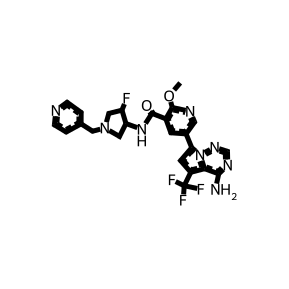 COc1ncc(-c2cc(C(F)(F)F)c3c(N)ncnn23)cc1C(=O)NC1CN(Cc2ccncc2)CC1F